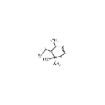 CC1C=CCC(C)(C)C1CC#N